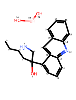 CCCCC(O)(CN)c1cccc2nc3ccccc3cc12.OBO